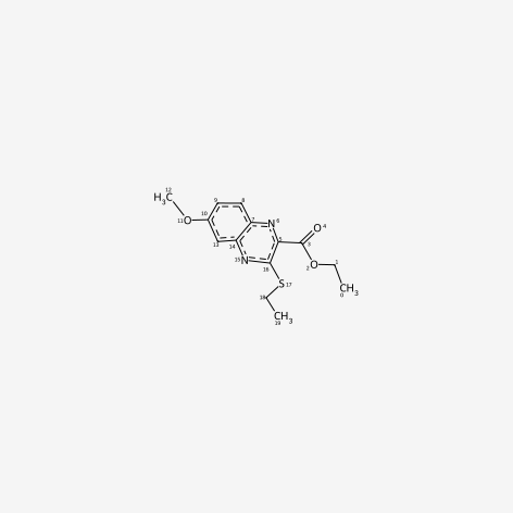 CCOC(=O)c1nc2ccc(OC)cc2nc1SCC